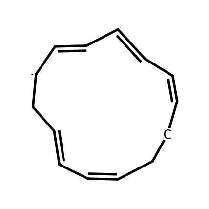 [CH]1/C=C/C=C/C=C\CC/C=C\C=C\C1